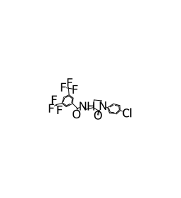 O=C(NCC1CCN(c2ccc(Cl)cc2)C1=O)c1cc(C(F)(F)F)cc(C(F)(F)F)c1